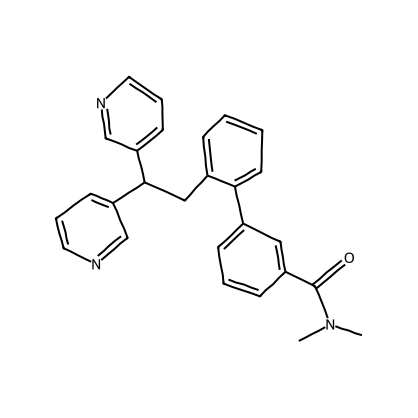 CN(C)C(=O)c1cccc(-c2ccccc2CC(c2cccnc2)c2cccnc2)c1